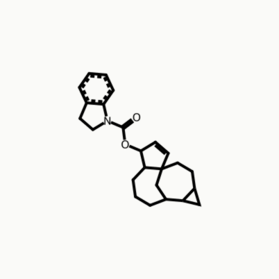 O=C(OC1C=CC23CCC4CC4C(CCCC12)C3)N1CCc2ccccc21